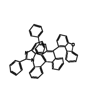 c1ccc(-c2ccc3c(-c4ccccc4-n4c(-c5ccccc5)nc5ccccc54)c4ccccc4c(-c4cccc5oc6ccccc6c45)c3c2)cc1